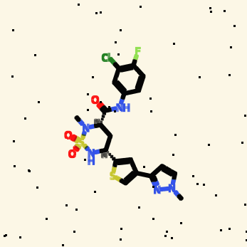 CN1[C@H](C(=O)Nc2ccc(F)c(Cl)c2)C[C@H](c2cc(-c3ccn(C)n3)cs2)NS1(=O)=O